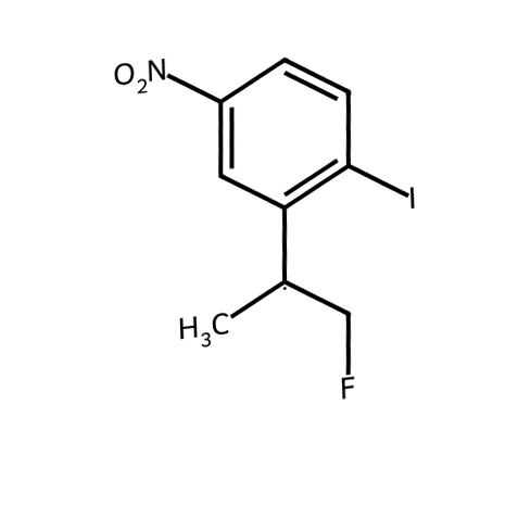 C[C](CF)c1cc([N+](=O)[O-])ccc1I